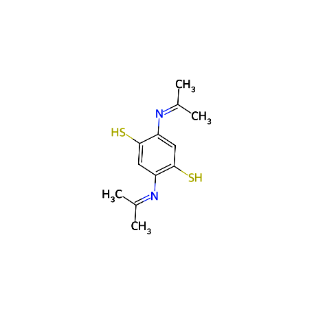 CC(C)=Nc1cc(S)c(N=C(C)C)cc1S